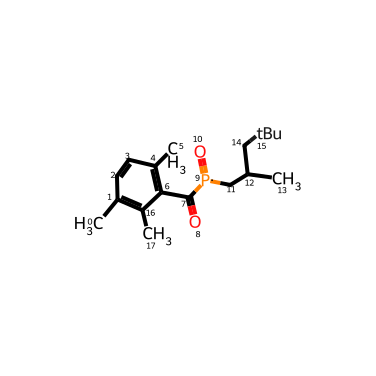 Cc1ccc(C)c(C(=O)[P](=O)CC(C)CC(C)(C)C)c1C